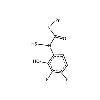 CC(C)NC(=O)N(S)c1ccc(F)c(F)c1O